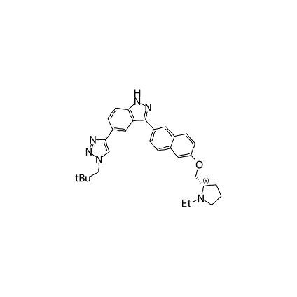 CCN1CCC[C@H]1COc1ccc2cc(-c3n[nH]c4ccc(-c5cn(CC(C)(C)C)nn5)cc34)ccc2c1